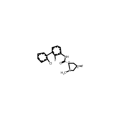 CN1C[C@H](F)C[C@H]1C(=O)Nc1cccc(-c2ccccc2Cl)c1F